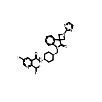 O=C(N[C@H]1CC[C@H](CN2C(=O)C3(CN(c4nccs4)C3)c3ccccc32)CC1)c1cc(Cl)cnc1C(F)F